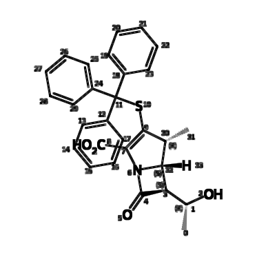 C[C@@H](O)[C@H]1C(=O)N2C(C(=O)O)=C(SC(c3ccccc3)(c3ccccc3)c3ccccc3)[C@H](C)[C@H]12